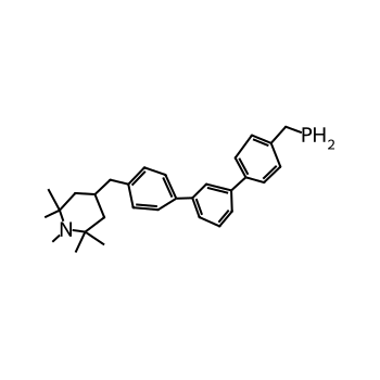 CN1C(C)(C)CC(Cc2ccc(-c3cccc(-c4ccc(CP)cc4)c3)cc2)CC1(C)C